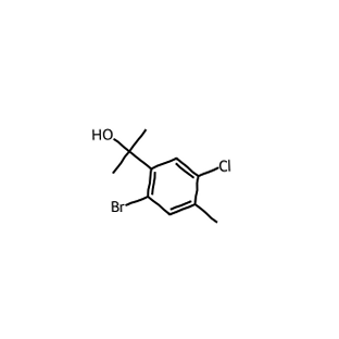 Cc1cc(Br)c(C(C)(C)O)cc1Cl